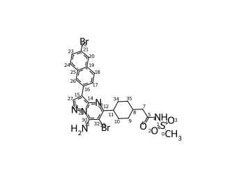 CS(=O)(=O)NC(=O)CC1CCC(c2nc3c(-c4ccc5cc(Br)ccc5c4)cnn3c(N)c2Br)CC1